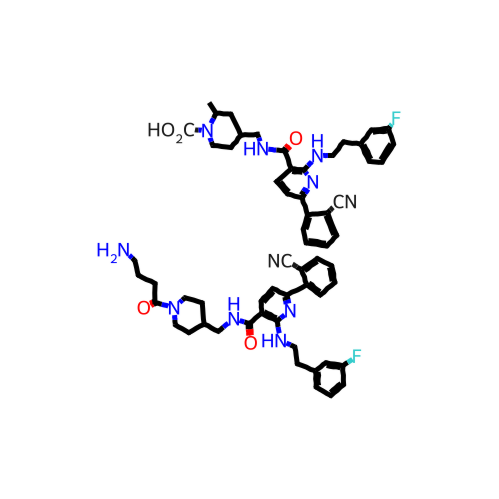 CC1CC(CNC(=O)c2ccc(-c3ccccc3C#N)nc2NCCc2cccc(F)c2)CCN1C(=O)O.N#Cc1ccccc1-c1ccc(C(=O)NCC2CCN(C(=O)CCCN)CC2)c(NCCc2cccc(F)c2)n1